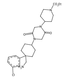 CCOC(=O)N1CCC(N2CC(=O)N(C3CCC(CN)(c4cccc(Cl)c4)CC3)CC2=O)CC1